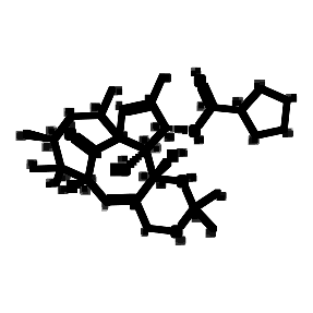 CC1=CC23C(=O)[C@@H](C=C4COC(C)(C)O[C@H]4[C@]2(O)[C@H]1OC(=O)C1CCCC1)C(C)(C)[C@@H](C)CC3C